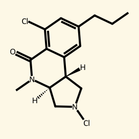 CCCc1cc(Cl)c2c(c1)[C@@H]1CN(Cl)C[C@H]1N(C)C2=O